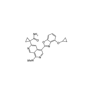 CNc1ncc(-c2nc3c(OC4CC4)cccc3o2)c2cc(C3(C(N)=O)CC3)ncc12